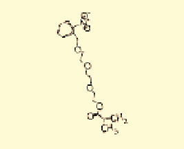 C=C(C)C(=O)OCCOCCOCCOCc1ccccc1[N+](=O)[O-]